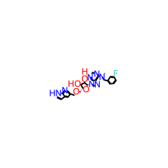 CN(Cc1cccc(F)c1)c1ncnc2c1ncn2[C@@H]1O[C@H](COCc2cnc3[nH]ccc3c2)[C@@H](O)[C@H]1O